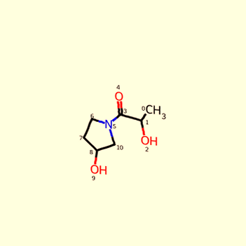 CC(O)C(=O)N1CCC(O)C1